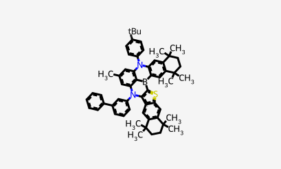 Cc1cc2c3c(c1)N(c1cccc(-c4ccccc4)c1)c1c(sc4cc5c(cc14)C(C)(C)CCC5(C)C)B3c1cc3c(cc1N2c1ccc(C(C)(C)C)cc1)C(C)(C)CCC3(C)C